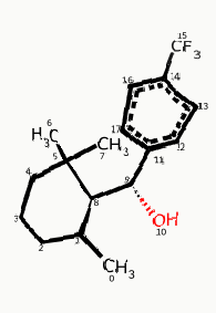 CC1CCCC(C)(C)[C@H]1[C@@H](O)c1ccc(C(F)(F)F)cc1